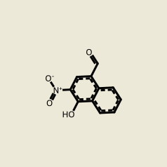 O=Cc1cc([N+](=O)[O-])c(O)c2ccccc12